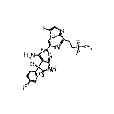 CCC1(c2ccc(F)cc2)C(=O)Nc2nc(-c3cn4c(F)cnc4c(CCC(F)(F)C(F)(F)F)n3)nc(N)c21